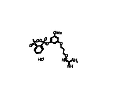 COc1cc(OCCCONC(=N)N)cc(OS(=O)(=O)c2ccccc2S(C)(=O)=O)c1.Cl